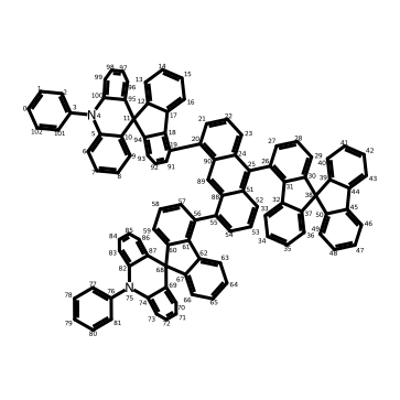 c1ccc(N2c3ccccc3C3(c4ccccc4-c4c(-c5cccc6c(-c7cccc8c7-c7ccccc7C87c8ccccc8-c8ccccc87)c7cccc(-c8cccc9c8-c8ccccc8C98c9ccccc9N(c9ccccc9)c9ccccc98)c7cc56)cccc43)c3ccccc32)cc1